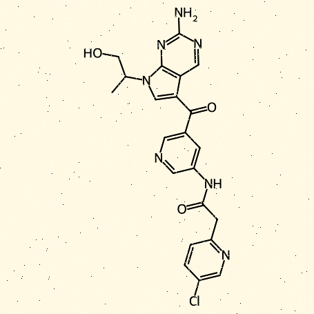 CC(CO)n1cc(C(=O)c2cncc(NC(=O)Cc3ccc(Cl)cn3)c2)c2cnc(N)nc21